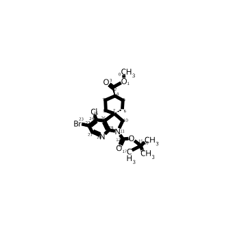 COC(=O)[C@H]1CC[C@]2(CC1)CN(C(=O)OC(C)(C)C)c1ncc(Br)c(Cl)c12